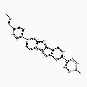 CC=Cc1ccc(-c2ccc3c(c2)sc2c4ccc(-c5ccc(C)cc5)cc4sc32)cc1